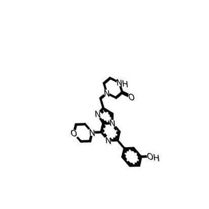 O=C1CN(Cc2cn3cc(-c4cccc(O)c4)nc(N4CCOCC4)c3n2)CCN1